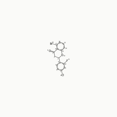 O=C1CC(c2ccc(Cl)cc2F)Oc2cccc(Br)c21